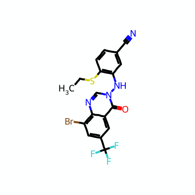 CCSc1ccc(C#N)cc1Nn1cnc2c(Br)cc(C(F)(F)F)cc2c1=O